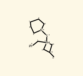 CC(C)C[PH]1(SN2CCCCC2)CC(C)C1